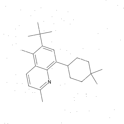 Cc1ccc2c(C)c(C(C)(C)C)cc(C3CCC(C)(C)CC3)c2n1